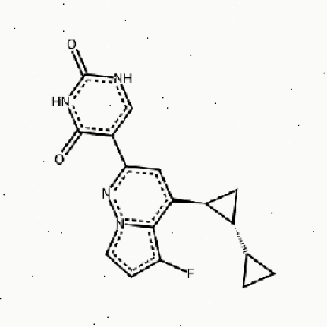 O=c1[nH]cc(-c2cc([C@H]3C[C@@H]3C3CC3)c3c(F)ccn3n2)c(=O)[nH]1